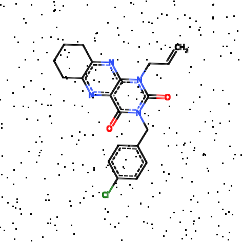 C=CCn1c(=O)n(Cc2ccc(Cl)cc2)c(=O)c2nc3c(nc21)CCCC3